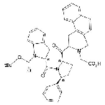 CC(C)(C)OC(=O)N1c2ccccc2C[C@@H]1C(=O)N1[C@@H](C(=O)C2Cc3c(ccc4ccccc34)CN2CC(=O)O)CC[C@H]1c1ccccc1